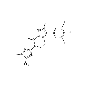 C[C@H]1c2nn(C)c(-c3cc(F)c(F)c(F)c3)c2CCN1c1[c]c(C(F)(F)F)n(C)n1